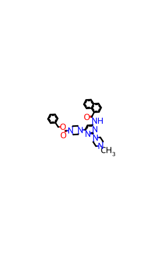 CN1CCN(c2nc(NC(=O)c3cccc4ccccc34)cc(N3CCN(C(=O)OCc4ccccc4)CC3)n2)CC1